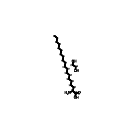 CCCCCCCCCCCCCCCCCCC(N)C(=O)O.OCCO